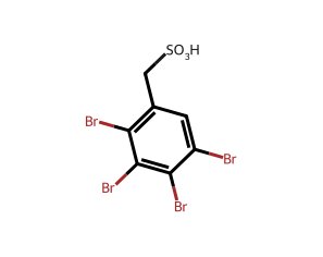 O=S(=O)(O)Cc1cc(Br)c(Br)c(Br)c1Br